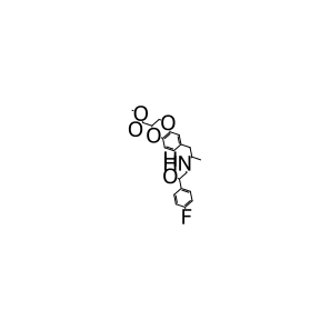 COC(=O)C1COc2cc(CC(C)NCC(O)c3ccc(F)cc3)ccc2O1